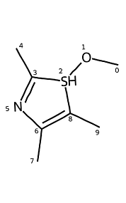 CO[SH]1C(C)=NC(C)=C1C